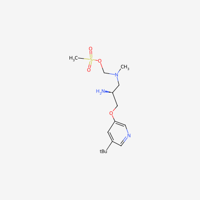 CN(COS(C)(=O)=O)C[C@H](N)COc1cncc(C(C)(C)C)c1